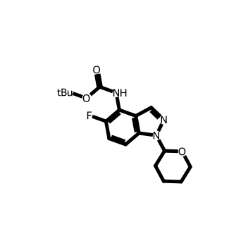 CC(C)(C)OC(=O)Nc1c(F)ccc2c1cnn2C1CCCCO1